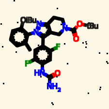 Cc1cccc(OCC(C)C)c1-n1nc2c(c1-c1cc(F)c(NC(N)=O)cc1F)CN(C(=O)OC(C)(C)C)CC2